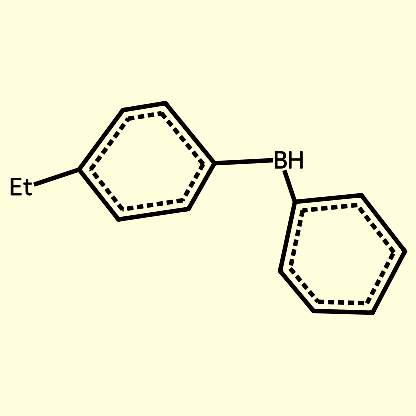 CCc1ccc(Bc2ccccc2)cc1